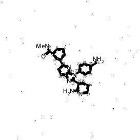 CNC(=O)c1cccc(-c2ccc3nc(-c4cccnc4N)n(-c4ccc(CN)cc4)c3n2)c1